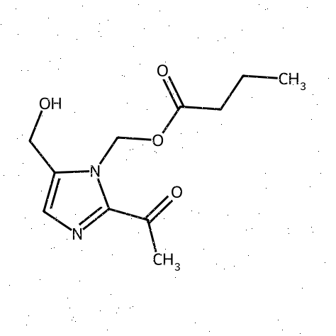 CCCC(=O)OCn1c(CO)cnc1C(C)=O